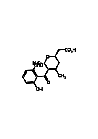 CC1=C(C(=O)c2c(O)cccc2C=O)[C@H](C)O[C@@H](CC(=O)O)C1